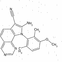 COc1ccc(C)c(-n2c(N)c(C#N)c3ccc4cncnc4c32)c1C